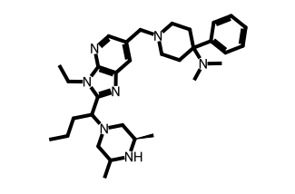 CCCC(c1nc2cc(CN3CCC(c4ccccc4)(N(C)C)CC3)cnc2n1CC)N1CC(C)N[C@H](C)C1